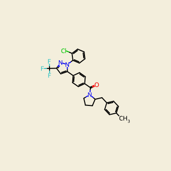 Cc1ccc(CC2CCCN2C(=O)c2ccc(-c3cc(C(F)(F)F)nn3-c3ccccc3Cl)cc2)cc1